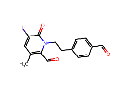 Cc1cc(I)c(=O)n(CCc2ccc(C=O)cc2)c1C=O